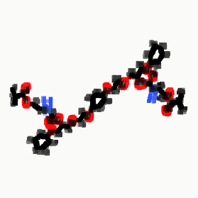 C=C(C)C(=O)OCCNC(=O)OC(COCCOc1ccc(OCCOCC(COc2ccccc2)OC(=O)NCCOC(=O)C(=C)C)cc1)COc1ccccc1